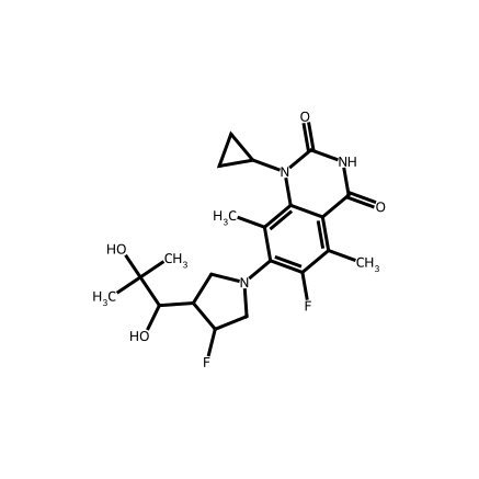 Cc1c(F)c(N2CC(F)C(C(O)C(C)(C)O)C2)c(C)c2c1c(=O)[nH]c(=O)n2C1CC1